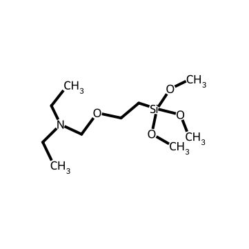 CCN(CC)COCC[Si](OC)(OC)OC